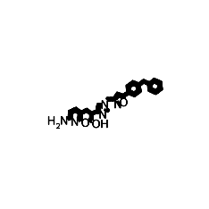 Nc1ccc(CC(C(=O)O)c2cn(Cc3cc(-c4ccc(Cc5ccccc5)cc4)on3)cn2)cn1